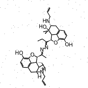 C=CCN[C@@H]1Cc2ccc(O)c3c2[C@@](CC)([C@H](/C(CC)=N/N=C(\C)[C@@H]2Oc4c(O)ccc5c4[C@@]24CCN(CC=C)[C@H](C5)[C@@H]4C)O3)[C@]1(C)O